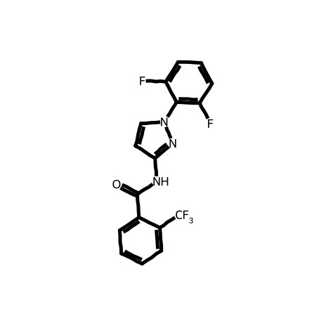 O=C(Nc1ccn(-c2c(F)cccc2F)n1)c1ccccc1C(F)(F)F